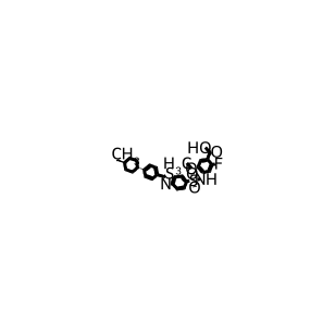 CC[C@H]1CC[C@H](c2ccc(-c3nc4ccc(S(=O)(=O)Nc5cc(F)c(C(=O)O)cc5OC)cc4s3)cc2)CC1